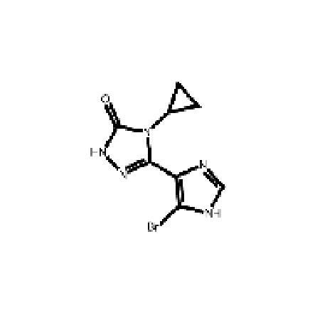 O=c1[nH]nc(-c2nc[nH]c2Br)n1C1CC1